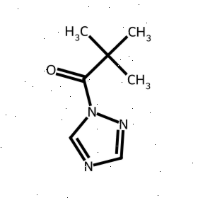 CC(C)(C)C(=O)n1cncn1